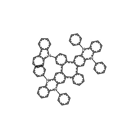 c1ccc(-n2c3ccccc3n(-c3ccccc3)c3cc4c5ccc(-n6c7ccccc7c7ccccc76)cc5c5cc6c(cc5c5ccccc5c4cc32)n(-c2ccccc2)c2ccccc2n6-c2ccccc2)cc1